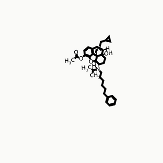 CC(=O)Oc1ccc2c3c1O[C@H]1[C@@H](N(CCCCCCc4ccccc4)C(C)C)CC[C@@]4(O)[C@@H](C2)N(CC2CC2)CC[C@]314